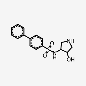 O=S(=O)(NC1CNCC1O)c1ccc(-c2ccccc2)cc1